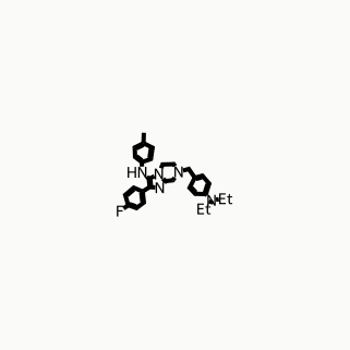 CCN(CC)c1ccc(CN2CCn3c(nc(-c4ccc(F)cc4)c3Nc3ccc(C)cc3)C2)cc1